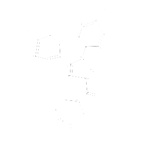 COc1ccc(-n2nc(C(=O)N3CCN(C)CC3)cc2-c2ccc(Cl)cc2)cn1